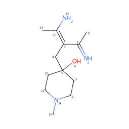 CC(=N)/C(CC1(O)CCN(C)CC1)=C(/C)N